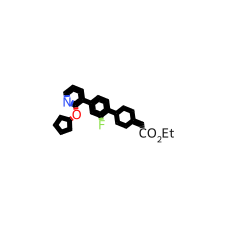 CCOC(=O)C=C1CCC(c2ccc(-c3cccnc3OC3CCCC3)cc2F)CC1